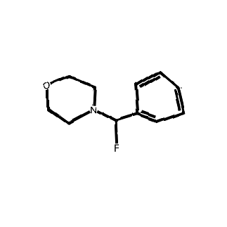 FC(c1cc[c]cc1)N1CCOCC1